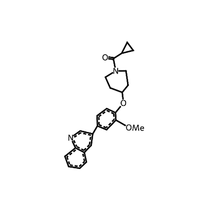 COc1cc(-c2cnc3ccccc3c2)ccc1OC1CCN(C(=O)C2CC2)CC1